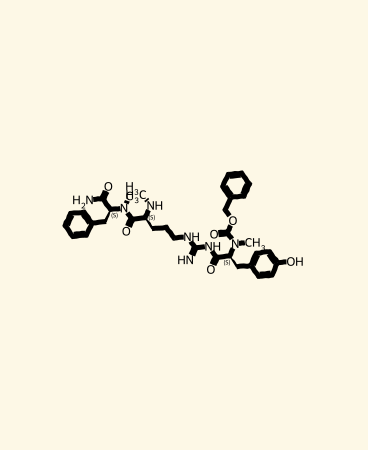 CN[C@@H](CCCNC(=N)NC(=O)[C@H](Cc1ccc(O)cc1)N(C)C(=O)OCc1ccccc1)C(=O)N(C)[C@@H](Cc1ccccc1)C(N)=O